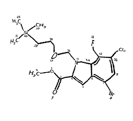 COC(=O)c1cc2c(Br)cc(Cl)c(F)c2n1COCC[Si](C)(C)C